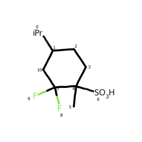 CC(C)C1CCC(C)(S(=O)(=O)O)C(F)(F)C1